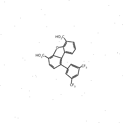 O=C(O)c1cccc2c1oc1c(C(=O)O)ccc(-c3cc(C(F)(F)F)cc(C(F)(F)F)c3)c12